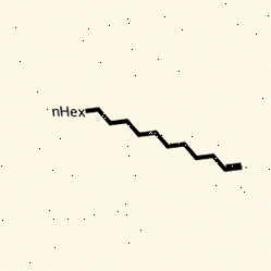 [CH]=CCCCCCCCCCCCCCCC